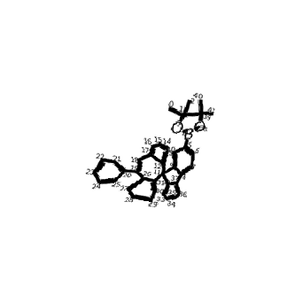 CC1(C)OB(c2ccc3c(c2)C2(c4ccccc4C=C(c4ccccc4)c4ccccc42)c2ccccc2-3)OC1(C)C